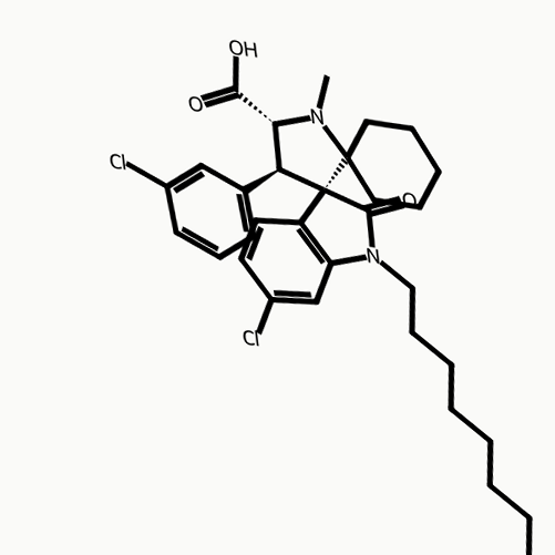 C#CCCCCCCCN1C(=O)[C@@]2(c3ccc(Cl)cc31)[C@@H](c1cccc(Cl)c1)[C@H](C(=O)O)N(C)C21CCCCC1